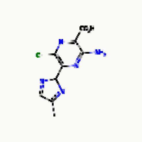 CC1=NC(c2nc(N)c(C(=O)O)nc2Cl)N=C1